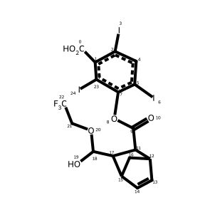 O=C(O)c1c(I)cc(I)c(OC(=O)C2C3C=CC(C3)C2C(O)OCC(F)(F)F)c1I